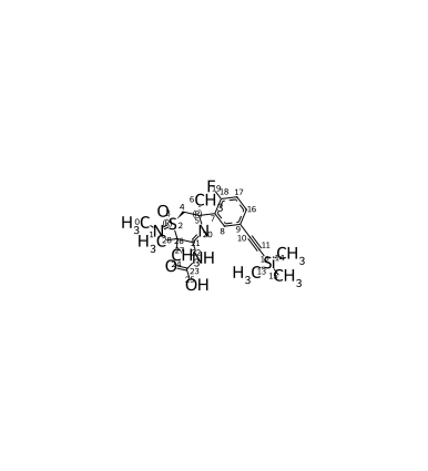 CN=[S@@]1(=O)C[C@@](C)(c2cc(C#C[Si](C)(C)C)ccc2F)N=C(NC(=O)O)C1(C)C